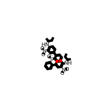 CCC(C)Nc1ccc(-c2ccccc2[S+]([O-])c2ccccc2-c2ccc(NC(C)CC)c([N+](=O)[O-])c2)cc1[N+](=O)[O-]